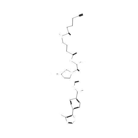 C#CCCCC(=O)N(C)CCCC(=O)N[C@H](C(=O)N1C[C@H](O)C[C@H]1C(=O)N[C@@H](C)c1ccc(-c2scnc2C)cc1)C(C)(C)C